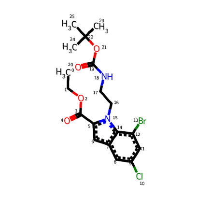 CCOC(=O)c1cc2cc(Cl)cc(Br)c2n1CCNC(=O)OC(C)(C)C